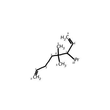 C=CCCC(C)(C)[C](C=C)C(C)C